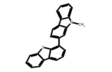 Cn1c2ccccc2c2ccc(-c3cccc4c3sc3ccccc34)cc21